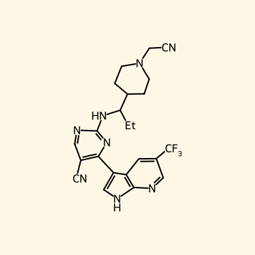 CCC(Nc1ncc(C#N)c(-c2c[nH]c3ncc(C(F)(F)F)cc23)n1)C1CCN(CC#N)CC1